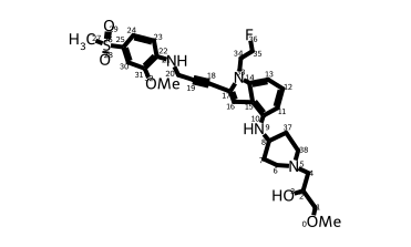 COCC(O)CN1CCC(Nc2cccc3c2cc(C#CCNc2ccc(S(C)(=O)=O)cc2OC)n3CCF)CC1